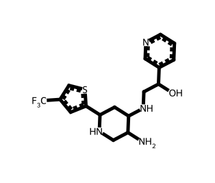 NC1CNC(c2cc(C(F)(F)F)cs2)CC1NCC(O)c1cccnc1